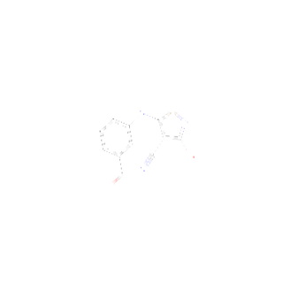 N#Cc1c(O)nsc1Nc1cccc(C=O)c1